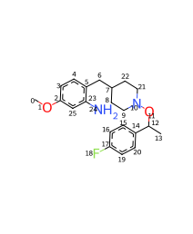 COc1ccc(CC2CCN(OC(C)c3ccc(F)cc3)CC2)c(N)c1